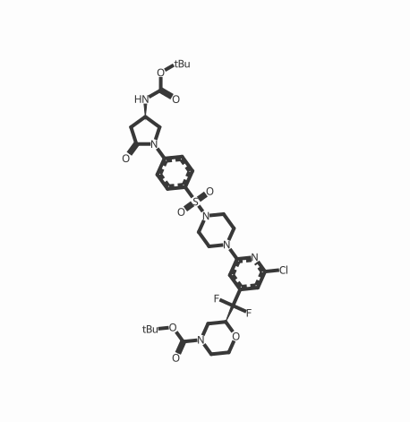 CC(C)(C)OC(=O)N[C@@H]1CC(=O)N(c2ccc(S(=O)(=O)N3CCN(c4cc(C(F)(F)[C@@H]5CN(C(=O)OC(C)(C)C)CCO5)cc(Cl)n4)CC3)cc2)C1